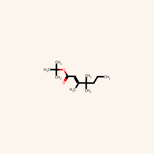 CCCC(C)(C)/C(C)=C/C(=O)OC(C)(C)C